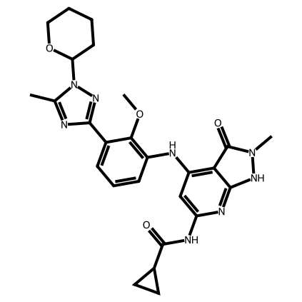 COc1c(Nc2cc(NC(=O)C3CC3)nc3[nH]n(C)c(=O)c23)cccc1-c1nc(C)n(C2CCCCO2)n1